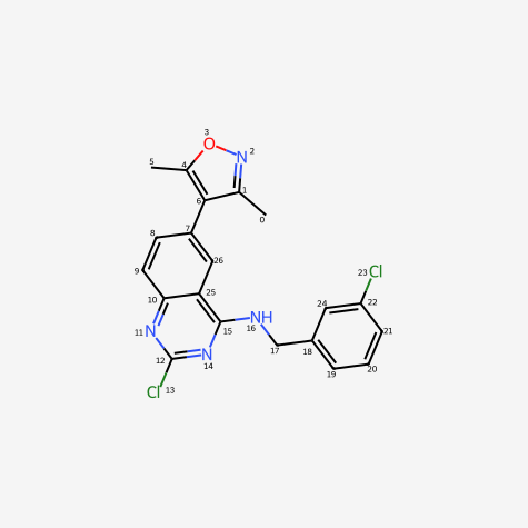 Cc1noc(C)c1-c1ccc2nc(Cl)nc(NCc3cccc(Cl)c3)c2c1